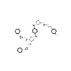 CO[C@H]1CN(C(=O)c2ccc(C(=O)N3C[C@@H](C(=O)N[C@H]4C[C@@H]4c4ccccc4)[C@H](C(=O)N[C@H]4C[C@@H]4c4ccccc4)C3)cc2)C[C@@H]1NC(=O)NCCc1ccc(F)cc1